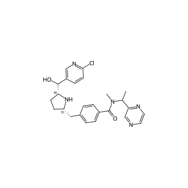 CC(c1cnccn1)N(C)C(=O)c1ccc(C[C@@H]2CC[C@H](C(O)c3ccc(Cl)nc3)N2)cc1